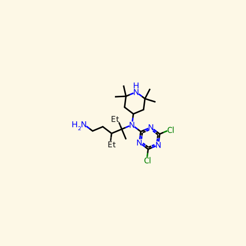 CCC(CCN)C(C)(CC)N(c1nc(Cl)nc(Cl)n1)C1CC(C)(C)NC(C)(C)C1